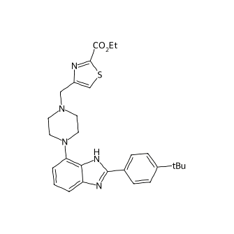 CCOC(=O)c1nc(CN2CCN(c3cccc4nc(-c5ccc(C(C)(C)C)cc5)[nH]c34)CC2)cs1